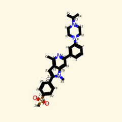 Cc1nc(-c2cccc(N3CCN(C(C)C)CC3)c2)cc2c1cc(-c1ccc(S(C)(=O)=O)cc1)n2C